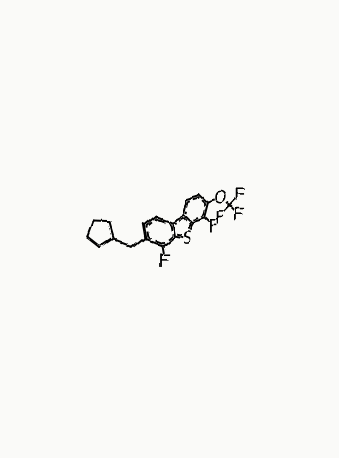 Fc1c(CC2CCCC2)ccc2c1sc1c(F)c(OC(F)(F)F)ccc12